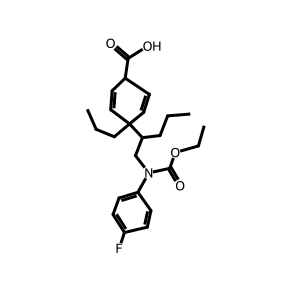 CCCC(CN(C(=O)OCC)c1ccc(F)cc1)C1(CCC)C=CC(C(=O)O)C=C1